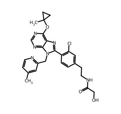 Cc1ccnc(Cn2c(-c3ccc(CCNC(=O)CO)cc3Cl)nc3c(OC4(C)CC4)ncnc32)c1